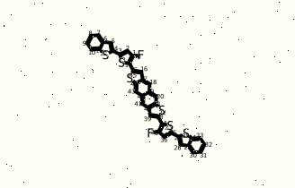 Fc1cc(-c2cc3ccccc3s2)sc1-c1cc2cc3cc4sc(-c5sc(-c6cc7ccccc7s6)cc5F)cc4cc3cc2s1